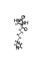 O=C(CCCCCn1ccnc1)c1c[nH]c(=O)[nH]1